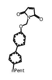 CCCCCc1ccc(-c2ccc(OCN3C(=O)C=CC3=O)cc2)cc1